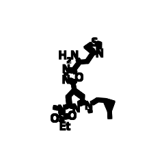 CCS(=O)(=O)N(C)c1cc(-c2nnc(C(N)Cc3cscn3)o2)cc(N(C)CC2CC2C)n1